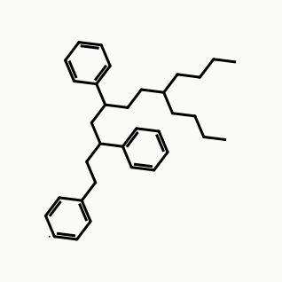 CCCCC(CCCC)CCC(CC(CCc1cc[c]cc1)c1ccccc1)c1ccccc1